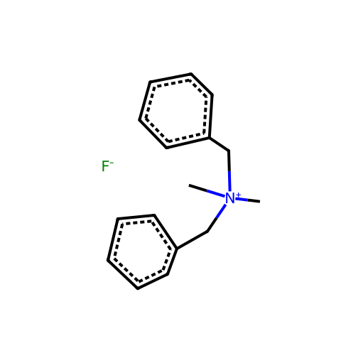 C[N+](C)(Cc1ccccc1)Cc1ccccc1.[F-]